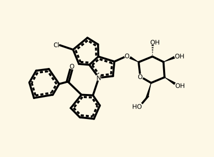 O=C(c1ccccc1)c1ccccc1-n1cc(O[C@@H]2O[C@H](CO)[C@H](O)[C@H](O)[C@H]2O)c2ccc(Cl)cc21